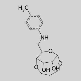 Cc1ccc(NCC2OC3OCCCOC2C(O)C3O)cc1